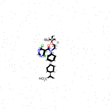 CC(C(=O)O)[C@H]1CC[C@H](c2ccc(N(C[C@@H](C)O[Si](C)(C)C(C)(C)C)C(=O)c3c(Cl)ncnc3Cl)cc2)CC1